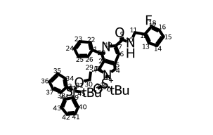 CC(C)(C)[S@@+]([O-])N1Cc2cc(C(=O)NCc3ccccc3F)nc(-c3ccccc3)c2[C@H]1CCO[Si](c1ccccc1)(c1ccccc1)C(C)(C)C